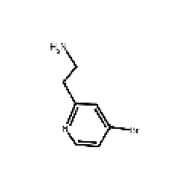 NCCc1cc(Br)ccn1